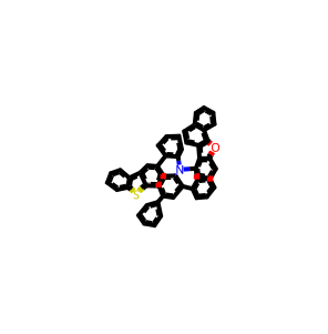 c1ccc(-c2ccc(N(c3ccccc3-c3ccc4sc5ccccc5c4c3)c3cccc4oc5c6ccccc6ccc5c34)c(-c3ccccc3)c2)cc1